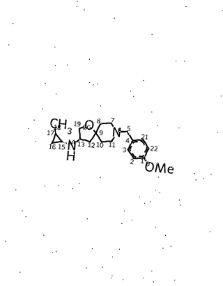 COc1ccc(CN2CCC3(CC2)CC(N[C@@H]2C[C@H]2C)CO3)cc1